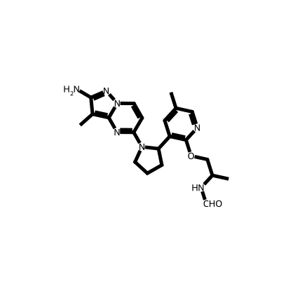 Cc1cnc(OCC(C)NC=O)c(C2CCCN2c2ccn3nc(N)c(C)c3n2)c1